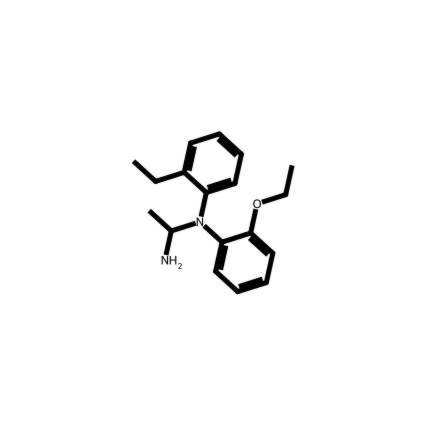 CCOc1ccccc1N(c1ccccc1CC)C(C)N